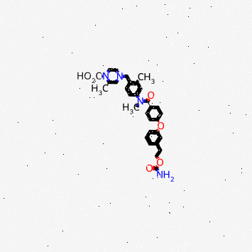 Cc1cc(N(C)C(=O)[C@H]2CC[C@H](Oc3cccc(CCOC(N)=O)c3)CC2)ccc1CN1CCN(C(=O)O)[C@@H](C)C1